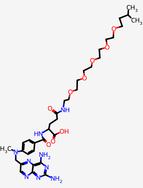 CC(C)CCOCCOCCOCCOCCOCCNC(=O)CCC(NC(=O)c1ccc(N(C)Cc2cnc3nc(N)nc(N)c3n2)cc1)C(=O)O